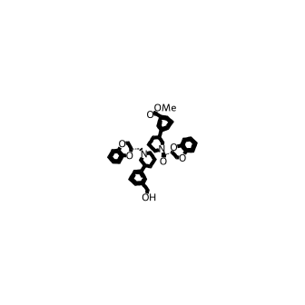 COC(=O)c1cccc(C2CCCN(C(=O)[C@H]3COc4ccccc4O3)C2)c1.OCc1cccc(C2CCCN(C[C@H]3COc4ccccc4O3)C2)c1